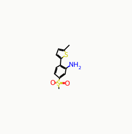 Cc1ccc(-c2ccc(S(C)(=O)=O)cc2N)s1